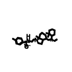 CC[C@@H](CC1CCCC2(C)C1CCN2CCN[S+]([O-])c1ccc(C)cc1)C1CCCCC1(C)C